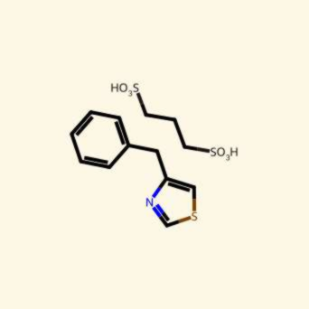 O=S(=O)(O)CCCS(=O)(=O)O.c1ccc(Cc2cscn2)cc1